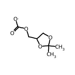 CC1(C)OCC(COC([O])=O)O1